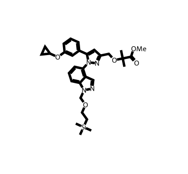 COC(=O)C(C)(C)OCc1cc(-c2cccc(OC3CC3)c2)n(-c2cccc3c2cnn3COCC[Si](C)(C)C)n1